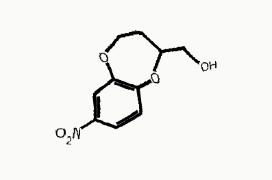 O=[N+]([O-])c1ccc2c(c1)OCCC(CO)O2